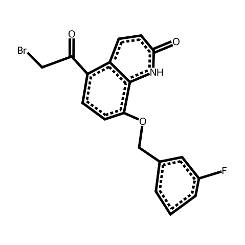 O=C(CBr)c1ccc(OCc2cccc(F)c2)c2[nH]c(=O)ccc12